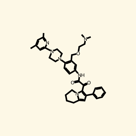 Cc1cc(C)nc(N2CCN(c3ccc(NC(=O)C(=O)c4c(-c5ccccc5)cc5n4CCCC5)cc3COCCN(C)C)CC2)c1